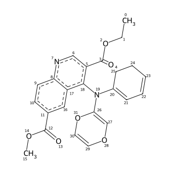 CCOC(=O)c1cnc2ccc(C(=O)OC)cc2c1N(C1=CC=CCC1)C1=COC=CO1